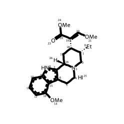 CC[C@@H]1CN2CCc3c([nH]c4cccc(OC)c34)[C@@H]2C[C@@H]1/C(=C\OC)C(=O)OC.I